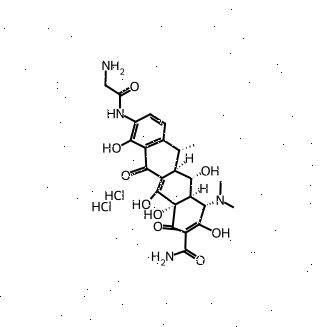 C[C@H]1c2ccc(NC(=O)CN)c(O)c2C(=O)C2=C(O)[C@]3(O)C(=O)C(C(N)=O)=C(O)[C@@H](N(C)C)[C@@H]3[C@@H](O)[C@@H]21.Cl.Cl